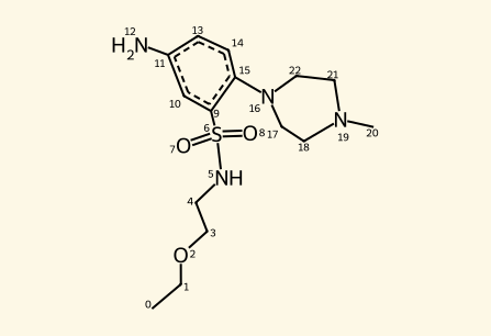 CCOCCNS(=O)(=O)c1cc(N)ccc1N1CCN(C)CC1